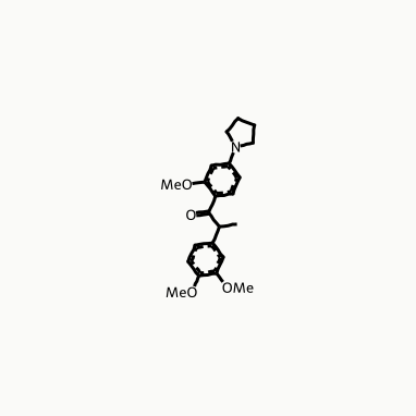 COc1ccc(C(C)C(=O)c2ccc(N3CCCC3)cc2OC)cc1OC